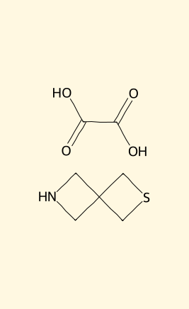 C1NCC12CSC2.O=C(O)C(=O)O